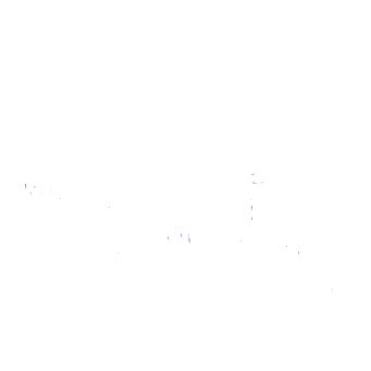 COC(=O)c1cc(Cl)ccc1Nc1ccc(F)cc1C(C)C